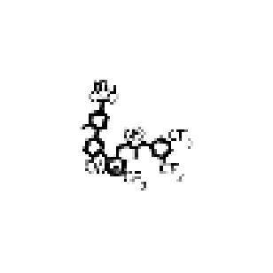 COc1ccc(-c2ccc(C(=O)OC(C)(C)C)cc2C)cc1-c1ccc(C(F)(F)F)cc1CC1=NOC(c2cc(C(F)(F)F)cc(C(F)(F)F)c2)C1C